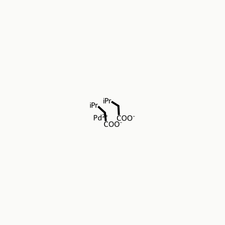 CC(C)CC(=O)[O-].CC(C)CC(=O)[O-].[Pd+2]